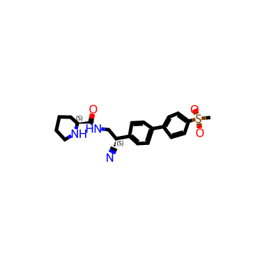 CS(=O)(=O)c1ccc(-c2ccc([C@H](C#N)CNC(=O)[C@@H]3CCCCN3)cc2)cc1